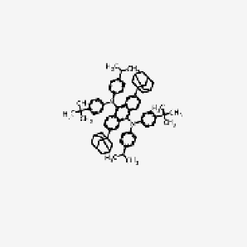 CC(C)c1ccc(N(c2ccc(C(C)(C)C)cc2)c2c3ccc(C45CC6CC(CC(C6)C4)C5)cc3c(N(c3ccc(C(C)C)cc3)c3ccc(C(C)(C)C)cc3)c3ccc(C45CC6CC(CC(C6)C4)C5)cc23)cc1